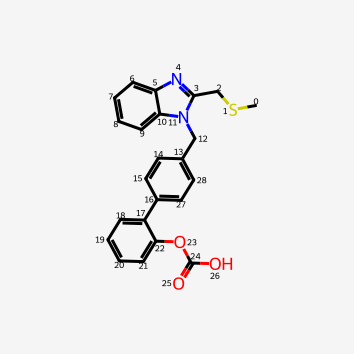 CSCc1nc2ccccc2n1Cc1ccc(-c2ccccc2OC(=O)O)cc1